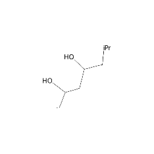 [CH2]C(O)CC(O)CC(C)C